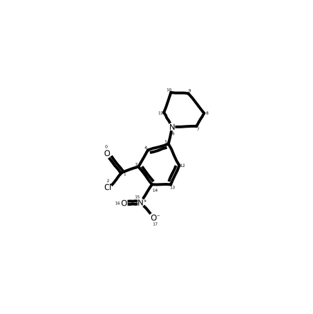 O=C(Cl)c1cc(N2CCCCC2)ccc1[N+](=O)[O-]